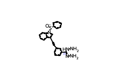 N/N=C(\NN)c1cccc(C#Cc2cn([S+]([O-])c3ccccc3)c3ccccc23)c1